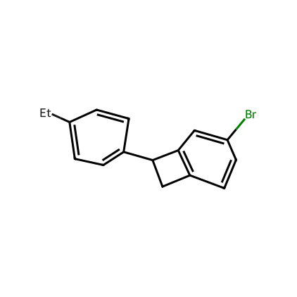 CCc1ccc(C2Cc3ccc(Br)cc32)cc1